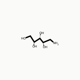 NC[C@H](O)[C@@H](O)[C@H](O)CO